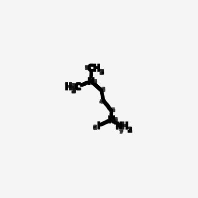 CN(C)CCCN(N)I